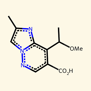 COC(C)c1c(C(=O)O)cnn2cc(C)nc12